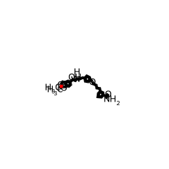 CC1(C)OCc2cc([C@@H](O)CNCCc3ccc(OCCCCc4cccc(C(N)=O)c4)cc3)ccc2O1